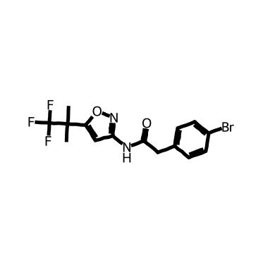 CC(C)(c1cc(NC(=O)Cc2ccc(Br)cc2)no1)C(F)(F)F